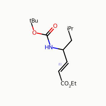 CCOC(=O)/C=C/C(CC(C)C)NC(=O)OC(C)(C)C